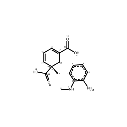 CNc1ccccc1N.C[C@@]1(C(=O)O)C=CC=C(C(=O)O)C1